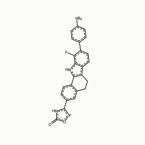 CCCCc1ccc(-c2ccc3c4c([nH]c3c2F)-c2ccc(-c3noc(=O)[nH]3)cc2CC4)cc1